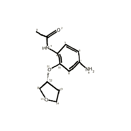 CC(=O)Nc1ccc(N)cc1O[C@@H]1CCOC1